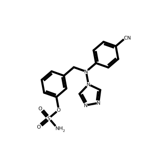 N#Cc1ccc(N(Cc2cccc(OS(N)(=O)=O)c2)n2cnnc2)cc1